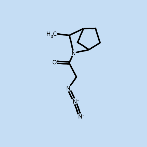 CC1C2CCC(C2)N1C(=O)CN=[N+]=[N-]